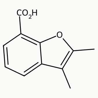 Cc1oc2c(C(=O)O)cccc2c1C